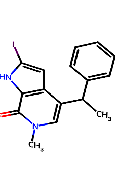 CC(c1ccccc1)c1cn(C)c(=O)c2[nH]c(I)cc12